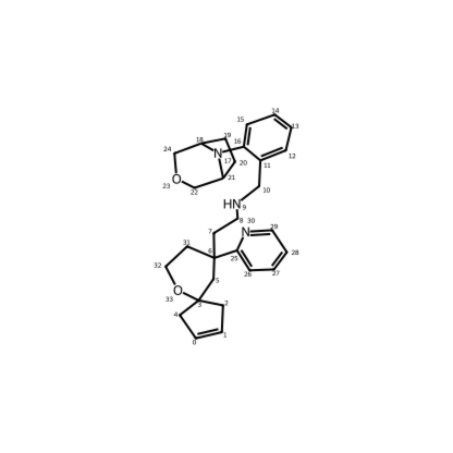 C1=CCC2(C1)CC(CCNCc1ccccc1N1C3CCC1COC3)(c1ccccn1)CCO2